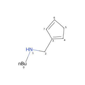 CCCCNCC1=CCC=C1